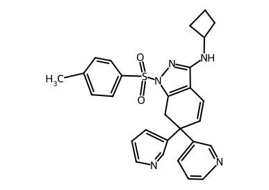 Cc1ccc(S(=O)(=O)n2nc(NC3CCC3)c3c2CC(c2cccnc2)(c2cccnc2)C=C3)cc1